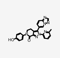 Cc1cccc(-n2nc3c(c2-c2ccc4ncnn4c2)CCN(c2ccc(O)cc2)C3=O)n1